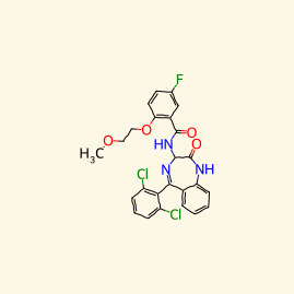 COCCOc1ccc(F)cc1C(=O)NC1N=C(c2c(Cl)cccc2Cl)c2ccccc2NC1=O